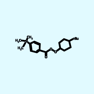 CCCCC1CC[C](OOC(=O)c2ccc([Si](C)(C)C)cc2)CC1